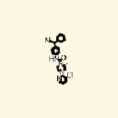 C[C@@H]1CN(c2ncccc2Cl)CCN1C(=O)Nc1ccc(C(C#N)c2ccccc2)cc1